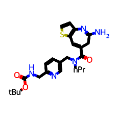 CCCN(Cc1ccc(CNC(=O)OC(C)(C)C)nc1)C(=O)C1=Cc2sccc2N=C(N)C1